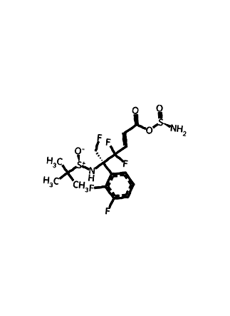 CC(C)(C)[S@@+]([O-])N[C@](CF)(c1cccc(F)c1F)C(F)(F)C=CC(=O)O[S@](N)=O